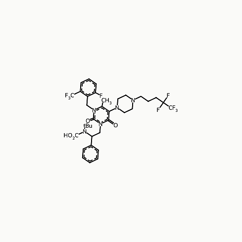 Cc1c(N2CCN(CCCC(F)(F)C(F)(F)F)CC2)c(=O)n(CC(c2ccccc2)N(C(=O)O)C(C)(C)C)c(=O)n1Cc1c(F)cccc1C(F)(F)F